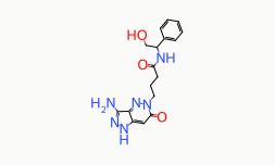 Nc1n[nH]c2cc(=O)n(CCCC(=O)NC(CO)c3ccccc3)nc12